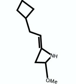 COC1C/C(=C\CC2CCC2)N1